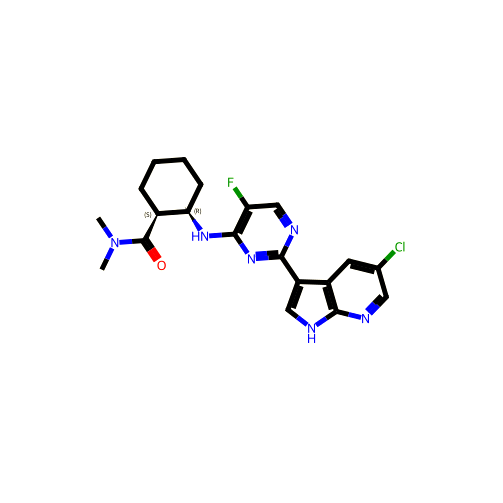 CN(C)C(=O)[C@H]1CCCC[C@H]1Nc1nc(-c2c[nH]c3ncc(Cl)cc23)ncc1F